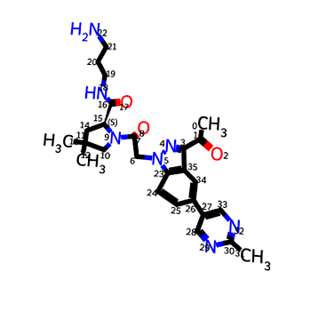 CC(=O)c1nn(CC(=O)N2CC(C)(C)C[C@H]2C(=O)NCCCN)c2ccc(-c3cnc(C)nc3)cc12